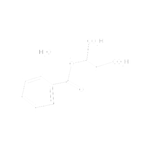 O.O=C(O)CC(OC(=O)c1ccccc1)C(=O)O